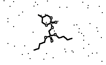 CCCCOP(=O)(COP1(=O)OCC(C)CO1)OCCCC